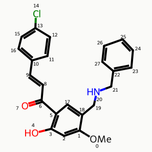 COc1cc(O)c(C(=O)/C=C/c2ccc(Cl)cc2)cc1CNCc1ccccc1